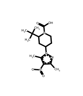 Cc1nn(C2CCN(C(=O)O)C(C(C)(C)C)C2)c(C)c1[N+](=O)[O-]